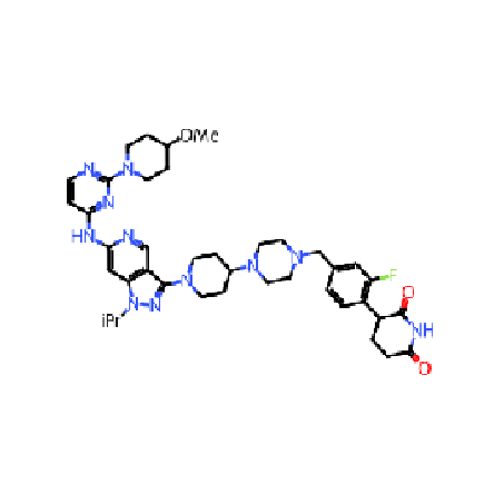 COC1CCN(c2nccc(Nc3cc4c(cn3)c(N3CCC(N5CCN(Cc6ccc(C7CCC(=O)NC7=O)c(F)c6)CC5)CC3)nn4C(C)C)n2)CC1